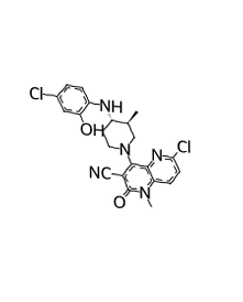 C[C@H]1CN(c2c(C#N)c(=O)n(C)c3ccc(Cl)nc23)CC[C@@H]1Nc1ccc(Cl)cc1O